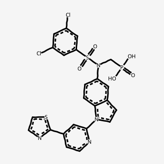 O=P(O)(O)CN(c1ccc2c(ccn2-c2cc(-c3nccs3)ccn2)c1)S(=O)(=O)c1cc(Cl)cc(Cl)c1